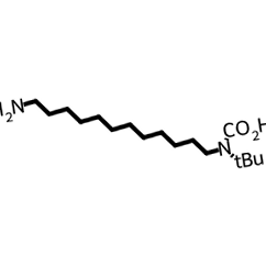 CC(C)(C)N(CCCCCCCCCCCCN)C(=O)O